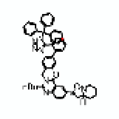 CCCCc1nc2ccc([C@@H]3C[C@@H]4CCCCN4O3)cc2c(=O)n1Cc1ccc(-c2ccccc2-c2nnnn2C(c2ccccc2)(c2ccccc2)c2ccccc2)cc1